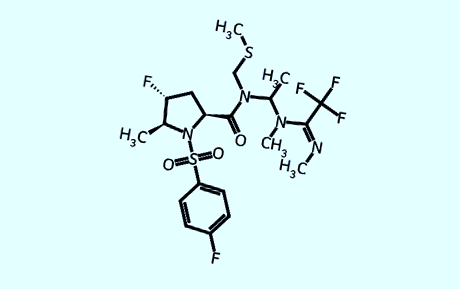 C/N=C(\N(C)C(C)N(CSC)C(=O)[C@@H]1C[C@@H](F)[C@H](C)N1S(=O)(=O)c1ccc(F)cc1)C(F)(F)F